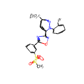 CCOC(=O)c1cc(-c2noc(-c3cccc(S(C)(=O)=O)c3)n2)n(-c2ccccc2C(C)C)n1